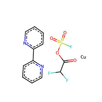 O=C(OS(=O)(=O)F)C(F)F.[Cu].c1ccc(-c2ccccn2)nc1